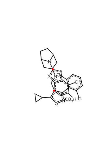 Cc1c(C(=O)O)ccc2nc(N3C4CCC3CC(NCc3c(-c5c(Cl)cccc5Cl)noc3C3CC3)C4)sc12